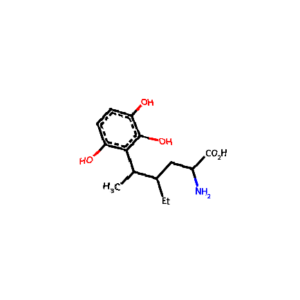 CCC(CC(N)C(=O)O)C(C)c1c(O)ccc(O)c1O